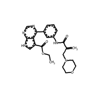 C=C(CN1CCOCC1)C(=O)Nc1cccc(-c2ncnc3[nH]cc(C(=O)OCC)c23)c1